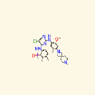 COc1cc(N2CC3(CCN(C)CC3)C2)c(C)cc1Nc1ncc(Cl)c(Nc2ccc(C)c(C)c2P(C)(C)=O)n1